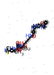 Cc1ncsc1-c1ccc([C@H](C)NC(=O)[C@@H]2C[C@@H](O)CN2C(=O)[C@@H](NC(=O)CCCCCCCCNC(=O)c2ccc(-c3cc(N4CCC(C(=O)N5N=CCC5c5ccccc5)CC4)ncn3)cc2)C(C)(C)C)cc1